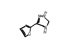 c1coc(C2=NNCN2)c1